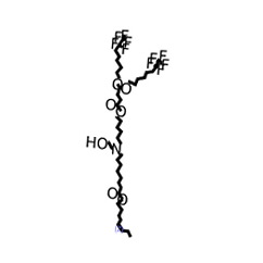 CC/C=C\CCCCOC(=O)CCCCCCCN(CCO)CCCCCCOC(=O)CCC(OCCCCCCC(F)(F)C(F)(F)F)OCCCCCCC(F)(F)C(F)(F)F